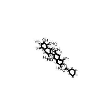 Cc1cc2c(C(C)C)c(OC(=O)C3CCCCC3)c(O)cc2c(O)c1-c1c(C)cc2c(C(C)C)c(O)c(O)c(C=O)c2c1O